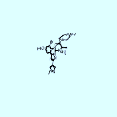 CC(Nc1nc2c(Br)cccc2c2nc(-c3cnn(C)c3)nn12)C(=O)N1CCNCC1.Cl